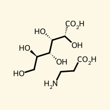 NCCC(=O)O.O=C(O)[C@H](O)[C@@H](O)[C@H](O)[C@H](O)CO